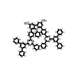 CC(C)(C)c1cc(-c2ccc(-c3nc(-c4ccccc4)nc(-c4cc(-c5ccccc5)cc(-c5ccccc5)c4)n3)cc2)c2c(c1)c1cc(C(C)(C)C)cc(-c3ccc(-c4nc(-c5ccccc5)nc(-c5cc(-c6ccccc6)cc(-c6ccccc6)c5)n4)cc3)c1n2-c1ccccc1